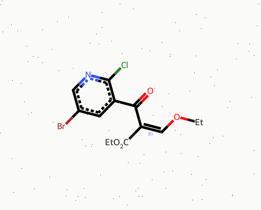 CCO/C=C(/C(=O)OCC)C(=O)c1cc(Br)cnc1Cl